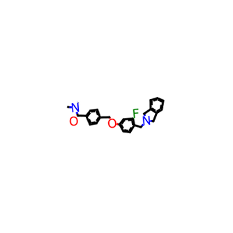 CN(C)C(=O)c1ccc(COc2ccc(CN3Cc4ccccc4C3)c(F)c2)cc1